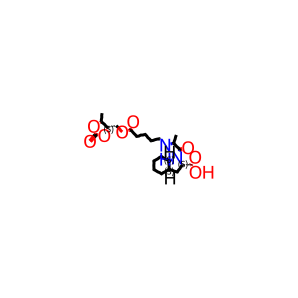 CC(NCCCCC(=O)OC[C@@H]1OC(=O)OC1C)C(=O)N1[C@H](C(=O)O)C[C@@H]2CCCC[C@@H]21